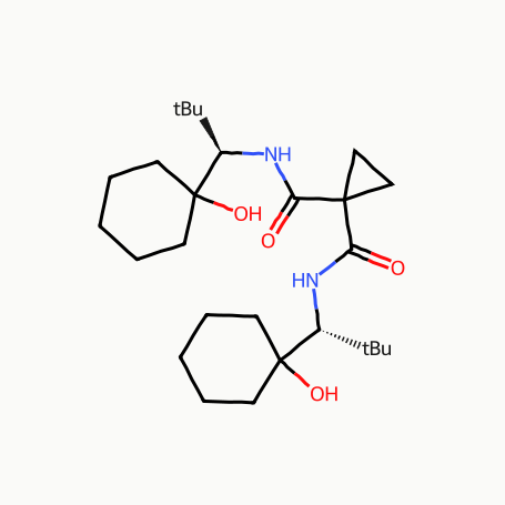 CC(C)(C)[C@@H](NC(=O)C1(C(=O)N[C@H](C(C)(C)C)C2(O)CCCCC2)CC1)C1(O)CCCCC1